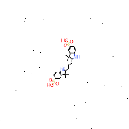 CC1(C)C(C=CC=C2Nc3ccc(S(=O)(=O)O)cc3C2(C)C)=[N+]c2ccc(S(=O)(=O)O)cc21